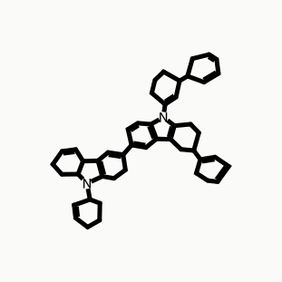 C1=CCCC(C2CCc3c(c4cc(C5=CC6=C(CC5)N(C5C=CCCC5)C5CCC=CC65)ccc4n3C3=CC(C4C=CC=CC4)CCC3)C2)=C1